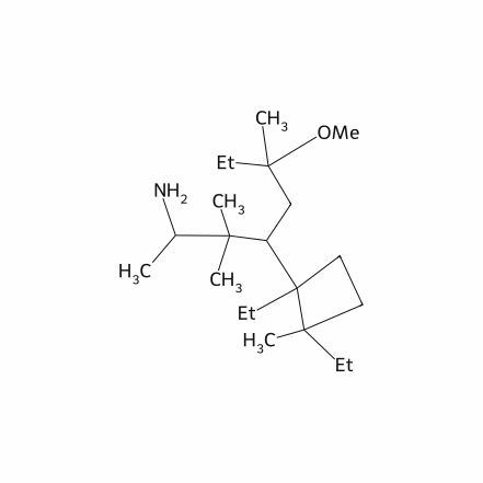 CCC(C)(CC(C(C)(C)C(C)N)C1(CC)CCC1(C)CC)OC